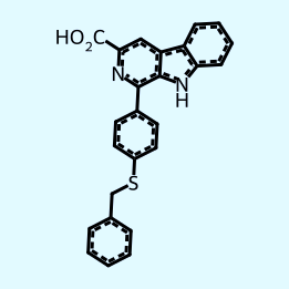 O=C(O)c1cc2c([nH]c3ccccc32)c(-c2ccc(SCc3ccccc3)cc2)n1